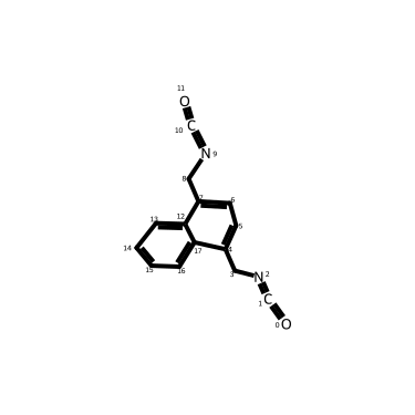 O=C=NCc1ccc(CN=C=O)c2ccccc12